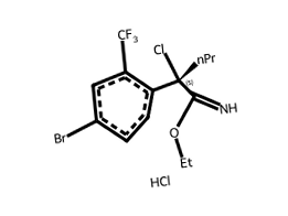 CCC[C@@](Cl)(C(=N)OCC)c1ccc(Br)cc1C(F)(F)F.Cl